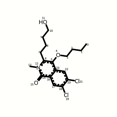 CCCCOc1c(CCCCO)n(C)c(=O)c2cc(Cl)c(Cl)cc12